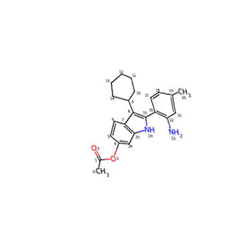 CC(=O)Oc1ccc2c(C3CCCCC3)c(-c3ccc(C)cc3N)[nH]c2c1